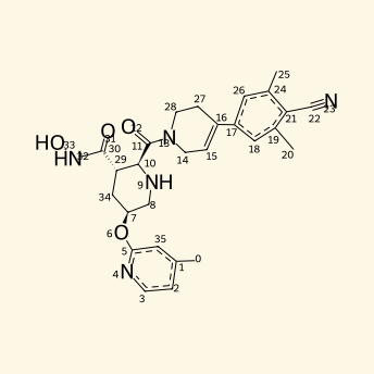 Cc1ccnc(O[C@@H]2CN[C@H](C(=O)N3CC=C(c4cc(C)c(C#N)c(C)c4)CC3)[C@@H](C(=O)NO)C2)c1